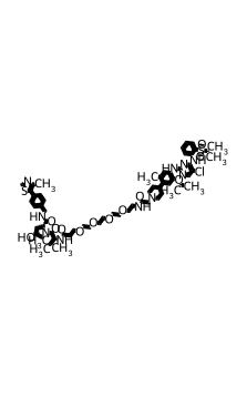 Cc1cc(Nc2ncc(Cl)c(Nc3ccccc3S(=O)(=O)C(C)C)n2)c(OC(C)C)cc1C1CCN(CC(=O)NCCOCCOCCOCCOCCC(=O)N[C@H](C(=O)N2C[C@H](O)C[C@H]2C(=O)NCc2ccc(-c3scnc3C)cc2)C(C)(C)C)CC1